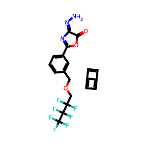 NN=C1N=C(c2cccc(COCC(F)(F)C(F)(F)C(F)(F)F)c2)OC1=O.c1cc2ccc1-2